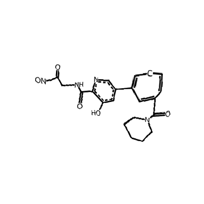 O=NC(=O)CNC(=O)c1ncc(C2=CCC=CC(C(=O)N3CCCCC3)=C2)cc1O